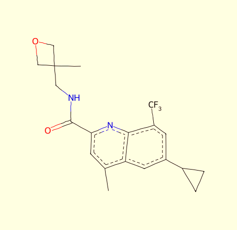 Cc1cc(C(=O)NCC2(C)COC2)nc2c(C(F)(F)F)cc(C3CC3)cc12